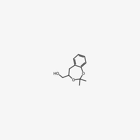 CC1(C)Oc2ccccc2CC(CO)O1